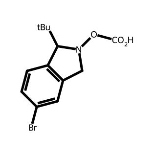 CC(C)(C)C1c2ccc(Br)cc2CN1OC(=O)O